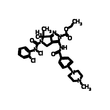 CCOC(=O)n1nc2c(c1NC(=O)c1ccc(N3CCN(C)CC3)cc1)CN(C(=O)N(Cl)c1ccccc1Cl)C2(C)C